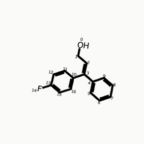 OC/C=C(/c1ccccc1)c1ccc(F)cc1